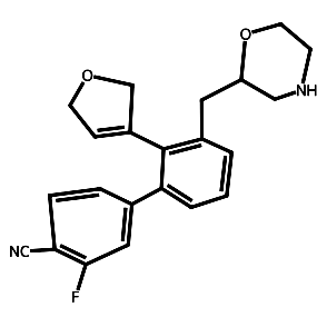 N#Cc1ccc(-c2cccc(CC3CNCCO3)c2C2=CCOC2)cc1F